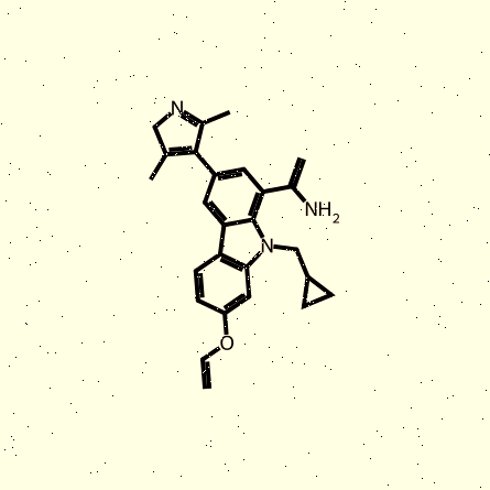 C=COc1ccc2c3cc(C4=C(C)CN=C4C)cc(C(=C)N)c3n(CC3CC3)c2c1